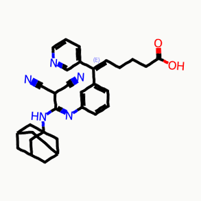 N#CC(C#N)C(=Nc1cccc(/C(=C\CCCC(=O)O)c2cccnc2)c1)NC12CC3CC(CC(C3)C1)C2